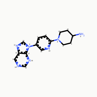 NC1CCN(c2ccc(-n3cnc4cncnc43)cn2)CC1